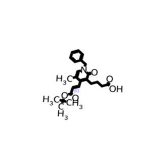 Cc1cn(Cc2ccccc2)c(=O)c(CCCC(=O)O)c1/C=C/C(=O)OC(C)(C)C